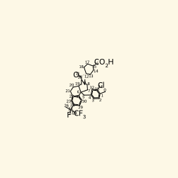 Cc1ccc(CC23CCN(C(=O)[C@H]4CC[C@H](C(=O)O)CC4)C2CCc2cc(C(C)(F)C(F)(F)F)ccc23)cc1Cl